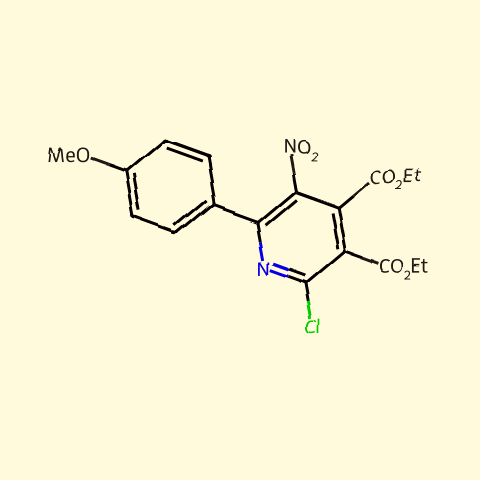 CCOC(=O)c1c(Cl)nc(-c2ccc(OC)cc2)c([N+](=O)[O-])c1C(=O)OCC